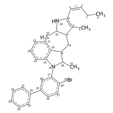 CC/C=C\C1=C(C)C(CC2c3ccccc3N(c3cc(-c4ccccc4)ccc3Br)C2C)C(C)N1